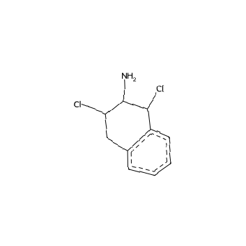 NC1C(Cl)Cc2ccccc2C1Cl